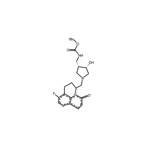 CC(C)(C)OC(=O)NC[C@H]1CN(CC2CCc3c(F)cnc4ccc(=O)n2c34)C[C@H]1O